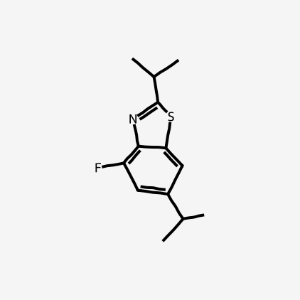 CC(C)c1cc(F)c2nc(C(C)C)sc2c1